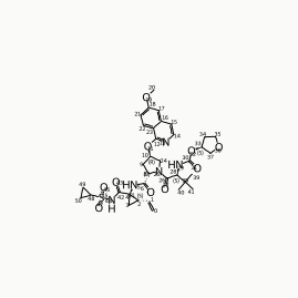 C=C[C@@H]1C[C@]1(NC(=O)[C@@H]1C[C@@H](Oc2nccc3cc(OC)ccc23)CN1C(=O)[C@@H](NC(=O)O[C@H]1CCOC1)C(C)(C)C)C(=O)NS(=O)(=O)C1CC1